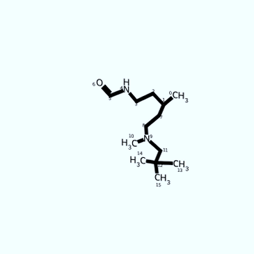 CC(CCNC=O)CCN(C)CC(C)(C)C